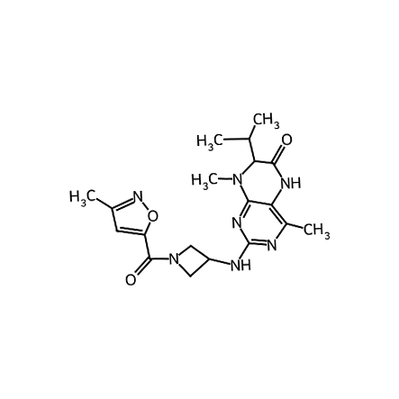 Cc1cc(C(=O)N2CC(Nc3nc(C)c4c(n3)N(C)C(C(C)C)C(=O)N4)C2)on1